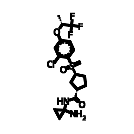 C=S(=O)(c1ccc(O[C@H](C)C(F)(F)F)cc1Cl)[C@H]1CC[C@H](C(=O)NC2(N)CC2)C1